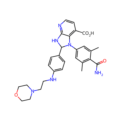 Cc1cc(N2c3c(C(=O)O)ccnc3NC2c2ccc(NCCN3CCOCC3)cc2)cc(C)c1C(N)=O